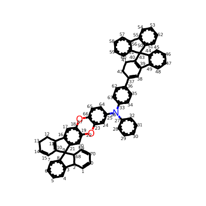 C1=CC2c3ccccc3C3(C4=C(CCC=C4)c4cc5c(cc43)Oc3cc(N(c4ccccc4)c4ccc(C6=CC7=C(CC6)C6(c8ccccc87)c7ccccc7-c7ccccc76)cc4)ccc3O5)C2C=C1